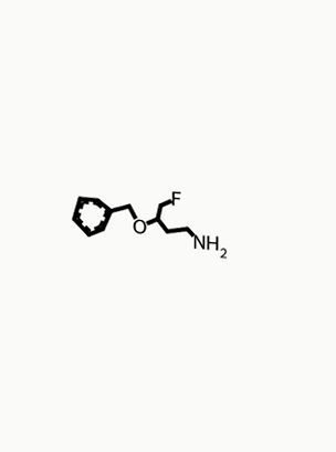 NCCC(CF)OCc1ccccc1